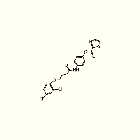 O=C(CCCOc1ccc(Cl)cc1Cl)Nc1ccc(OC(=O)c2nccs2)cc1